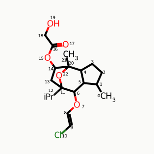 CC1CCC2C1C(OC=CCl)C1(C(C)C)CC(OC(=O)CO)C2(C)O1